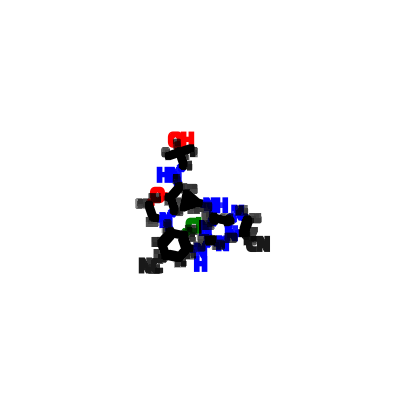 CC(C)(O)CNCC1CN(c2cc(C#N)cc(Nc3nc(NC4CC4)c4ncc(C#N)n4n3)c2Cl)CCO1